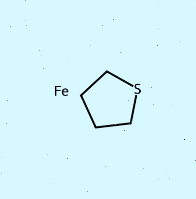 C1CCSC1.[Fe]